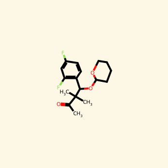 CC(=O)C(C)(C)C(OC1CCCCO1)c1ccc(F)cc1F